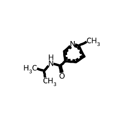 Cc1ccc(C(=O)NC(C)C)cn1